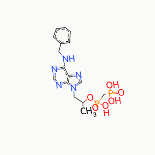 CC(Cn1cnc2c(NCc3ccccc3)ncnc21)OP(=O)(O)CP(=O)(O)O